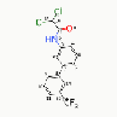 O=C(Nc1cccc(-c2cccc(C(F)(F)F)c2)c1)C(Cl)Cl